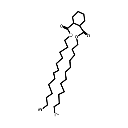 CC(C)CCCCCCCCCCCCOC(=O)C1CCCCC1C(=O)OCCCCCCCCCCCCC(C)C